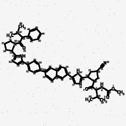 COC(=O)NC(C(=O)N1CC(C#N)CC1c1ncc(-c2ccc3cc(-c4ccc(-c5cnc(C6CCCN6C(=O)C(c6ccccc6)N(C)C)[nH]5)cc4)ccc3c2)[nH]1)C(C)C